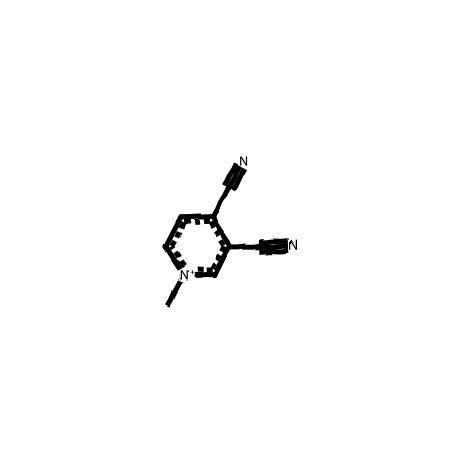 C[n+]1ccc(C#N)c(C#N)c1